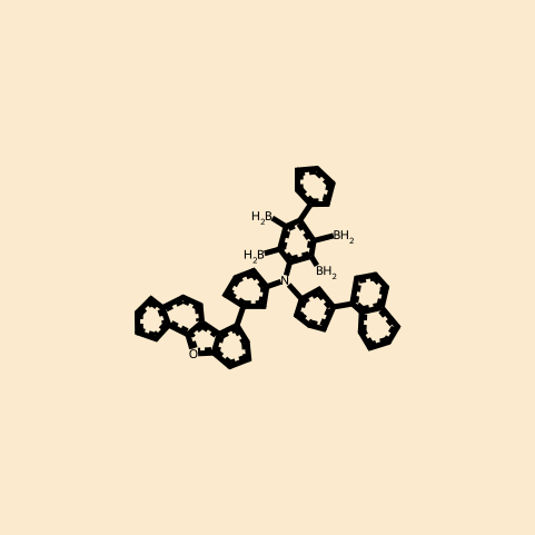 Bc1c(B)c(N(c2cccc(-c3cccc4ccccc34)c2)c2cccc(-c3cccc4oc5c6ccccc6ccc5c34)c2)c(B)c(B)c1-c1ccccc1